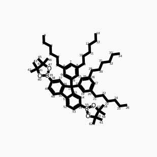 CCCCCCc1cc(CCCCCC)cc(C2(c3cc(CCCCCC)cc(CCCCCC)c3)c3cc(B4OC(C)(C)C(C)(C)O4)ccc3-c3ccc(B4OC(C)(C)C(C)(C)O4)cc32)c1